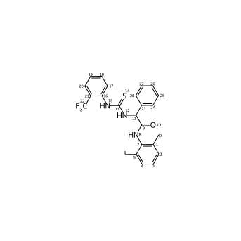 Cc1cccc(C)c1NC(=O)C(NC(=S)Nc1ccccc1C(F)(F)F)c1ccccc1